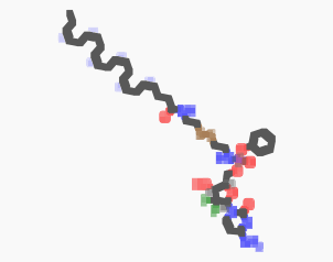 CC/C=C\C/C=C\C/C=C\C/C=C\C/C=C\C/C=C\CCC(=O)NCCSSCCNP(=O)(OC[C@H]1O[C@@H](n2ccc(N)nc2=O)C(F)(F)[C@@H]1O)Oc1ccccc1